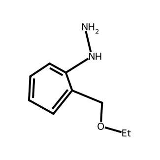 CCOCc1ccccc1NN